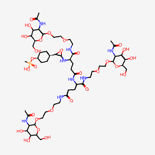 CC(=O)NC1C(OCCOCCNC(=O)CCC(NC(=O)CCC(NC2OC2[C@H]2CC[C@@H](OP(C)(=O)O)CC2)C(=O)NCCOCCOC2OC(CO)C(O)C(O)C2NC(C)=O)C(=O)NCCOCCOC2OC(CO)C(O)C(O)C2NC(C)=O)OC(CO)C(O)C1O